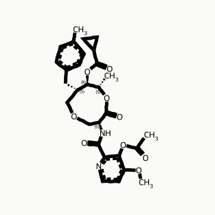 COc1ccnc(C(=O)N[C@H]2COC[C@H](Cc3ccc(C)cc3)[C@@H](OC(=O)C3CC3)[C@H](C)OC2=O)c1OC(C)=O